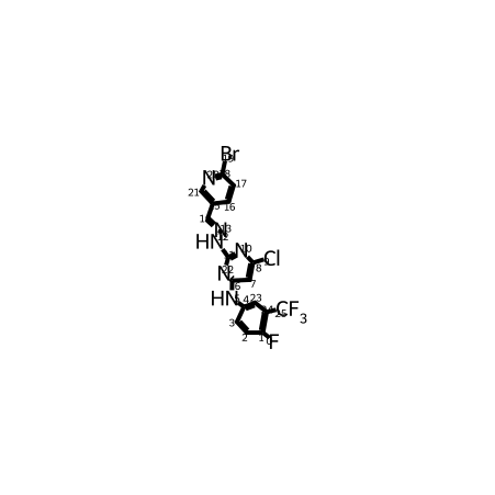 Fc1ccc(Nc2cc(Cl)nc(N/N=C/c3ccc(Br)nc3)n2)cc1C(F)(F)F